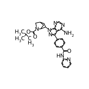 CC(C)(C)OC(=O)N1CC2CC1C(n1nc(-c3ccc(C(=O)Nc4ccccn4)cc3)c3c(N)ncnc31)C2